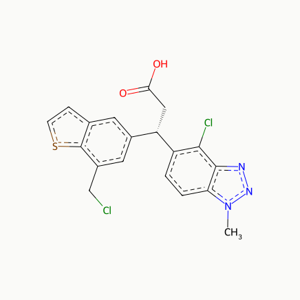 Cn1nnc2c(Cl)c([C@@H](CC(=O)O)c3cc(CCl)c4sccc4c3)ccc21